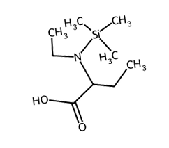 CCC(C(=O)O)N(CC)[Si](C)(C)C